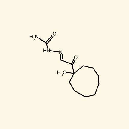 CC1(C(=O)/C=N/NC(N)=O)CCCCCCCC1